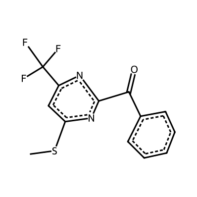 CSc1cc(C(F)(F)F)nc(C(=O)c2ccccc2)n1